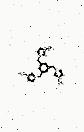 Cn1cc[n+](Cc2cc(C[n+]3ccn(C)c3)cc(C[n+]3ccn(C)c3)c2)c1